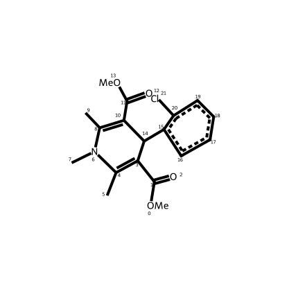 COC(=O)C1=C(C)N(C)C(C)=C(C(=O)OC)C1c1ccccc1Cl